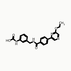 CCOc1cncc(-c2ccc(C(=O)NCc3cccc(NC(=O)O)c3)cc2)n1